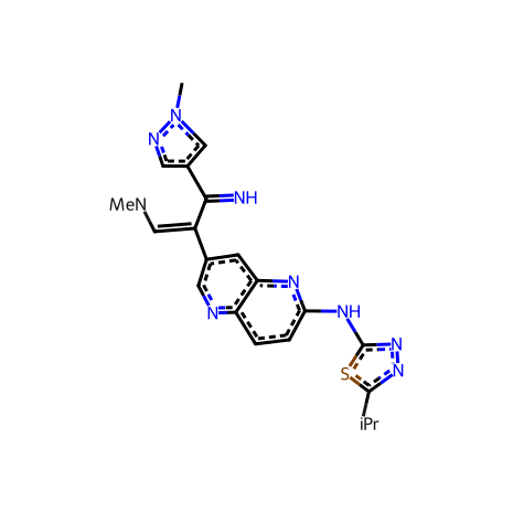 CN/C=C(\C(=N)c1cnn(C)c1)c1cnc2ccc(Nc3nnc(C(C)C)s3)nc2c1